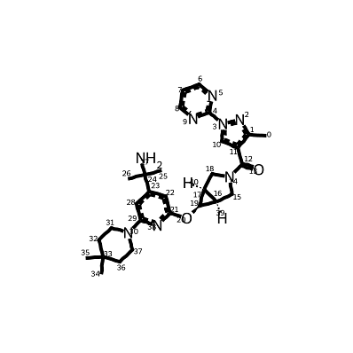 Cc1nn(-c2ncccn2)cc1C(=O)N1C[C@@H]2[C@H](C1)[C@@H]2Oc1cc(C(C)(C)N)cc(N2CCC(C)(C)CC2)n1